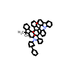 CC1(C)c2ccccc2-c2ccc(N(c3cccc(-c4ccccc4)c3)c3ccccc3-c3ccc4c(c3)C3(c5ccccc5-4)c4ccccc4-n4c5ccccc5c5cccc3c54)cc21